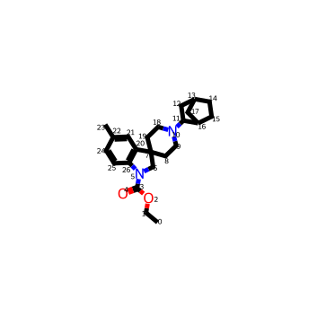 CCOC(=O)N1CC2(CCN(C3CC4CCC3C4)CC2)c2cc(C)ccc21